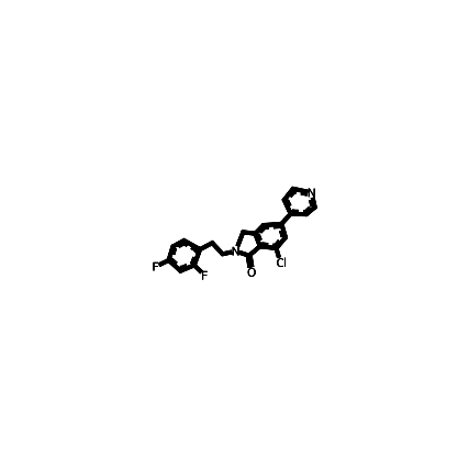 O=C1c2c(Cl)cc(-c3ccncc3)cc2CN1CCc1ccc(F)cc1F